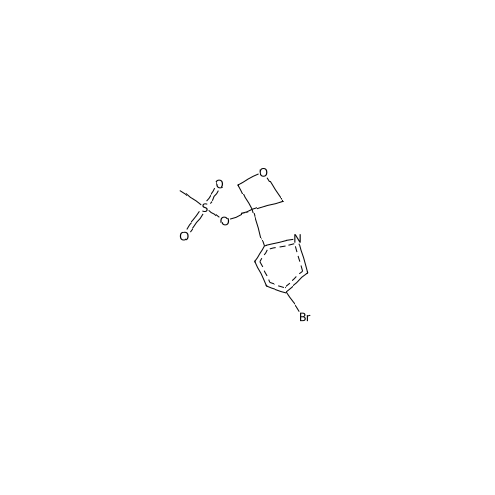 CS(=O)(=O)OC1(c2ccc(Br)cn2)COC1